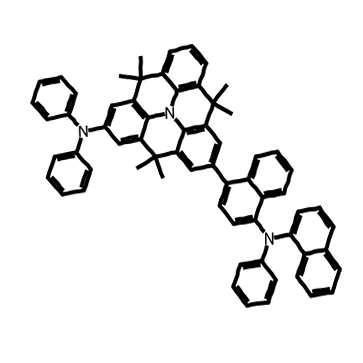 CC1(C)c2cccc3c2N2c4c1cc(-c1ccc(N(c5ccccc5)c5cccc6ccccc56)c5ccccc15)cc4C(C)(C)c1cc(N(c4ccccc4)c4ccccc4)cc(c12)C3(C)C